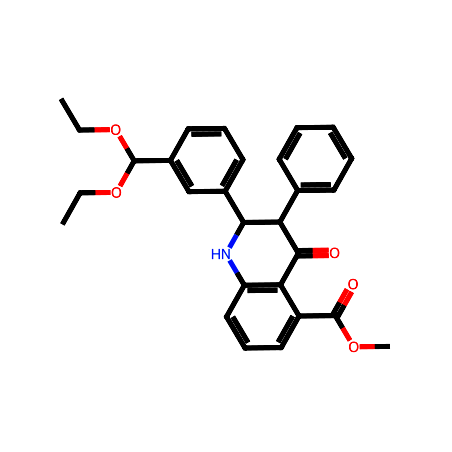 CCOC(OCC)c1cccc(C2Nc3cccc(C(=O)OC)c3C(=O)C2c2ccccc2)c1